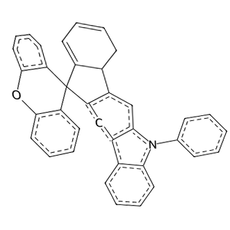 C1=CCC2C(=C1)C1(c3ccccc3Oc3ccccc31)c1cc3c4ccccc4n(-c4ccccc4)c3cc12